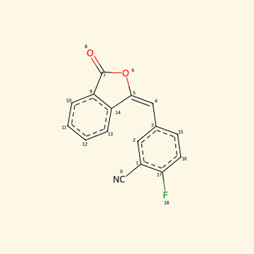 N#Cc1cc(/C=C2/OC(=O)c3ccccc32)ccc1F